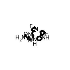 NC(=O)c1cnn2c(NC3CCc4[nH]c5c(F)cccc5c4C3)cc(-c3cncc(F)c3)nc12